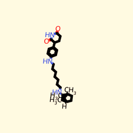 CC1(C)[C@@H]2CC[C@@]1(C)[C@@H](NCCCCCCCNc1ccc(C3CCC(=O)NC3=O)cc1)C2